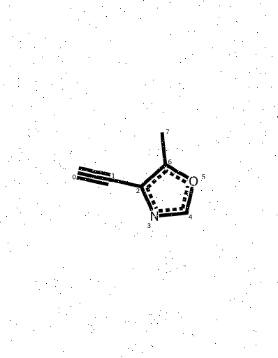 C#Cc1ncoc1C